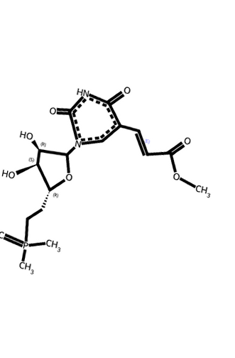 C=P(C)(C)CC[C@H]1OC(n2cc(/C=C/C(=O)OC)c(=O)[nH]c2=O)[C@H](O)[C@@H]1O